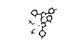 Fc1ccc(C2=N/C(=C\c3c(-c4ccccc4C(F)(F)F)cc(-c4ccc(F)cc4)n3B(OCC(F)(F)C(F)(F)F)OCC(F)(F)C(F)(F)F)C(c3ccccc3C(F)(F)F)=C2)cc1